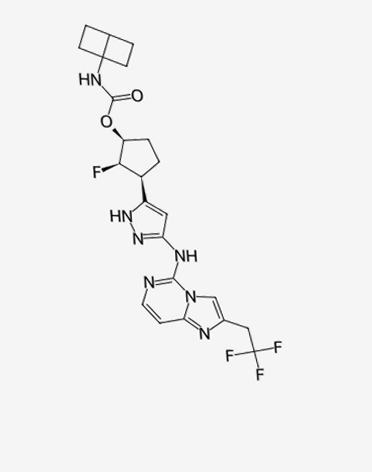 O=C(NC12CCC1CC2)O[C@H]1CC[C@@H](c2cc(Nc3nccc4nc(CC(F)(F)F)cn34)n[nH]2)[C@H]1F